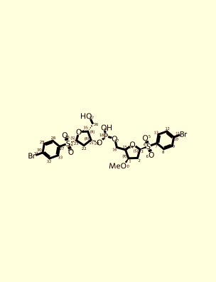 CO[C@@H]1C[C@H](S(=O)(=O)c2ccc(Br)cc2)OC1COP(O)O[C@@H]1C[C@H](S(=O)(=O)c2ccc(Br)cc2)O[C@@H]1CO